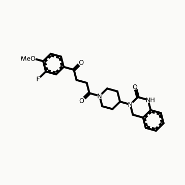 COc1ccc(C(=O)CCC(=O)N2CCC(N3Cc4ccccc4NC3=O)CC2)cc1F